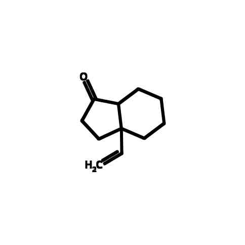 C=CC12CCCCC1C(=O)CC2